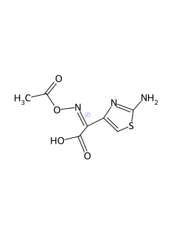 CC(=O)O/N=C(\C(=O)O)c1csc(N)n1